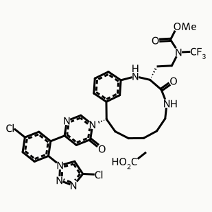 CC(=O)O.COC(=O)N(CC[C@H]1Nc2cccc(c2)[C@@H](n2cnc(-c3cc(Cl)ccc3-n3cc(Cl)nn3)cc2=O)CCCCCNC1=O)C(F)(F)F